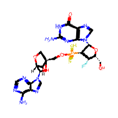 Nc1nc2c(ncn2[C@@H]2O[C@H](CO)[C@H](F)[C@H]2P(=S)(S)OC[C@@]23CO[C@@H]([C@H](n4cnc5c(N)ncnc54)O2)[C@@H]3O)c(=O)[nH]1